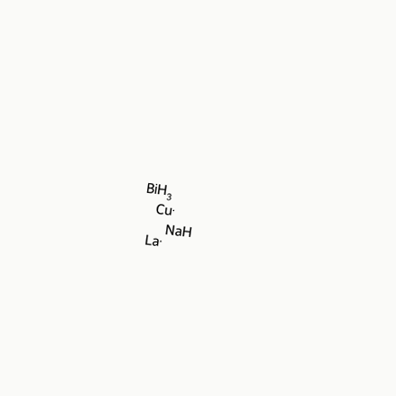 [BiH3].[Cu].[La].[NaH]